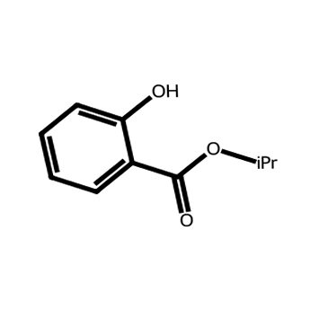 CC(C)OC(=O)c1ccccc1O